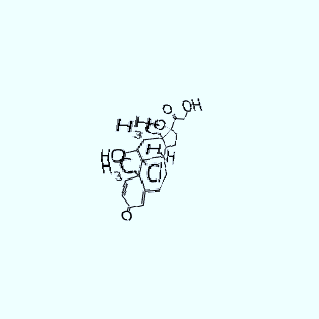 C[C@]12C=CC(=O)C=C1CC[C@H]1[C@@H]3CC[C@](O)(C(=O)CO)[C@@]3(C)CC(O)C12Cl